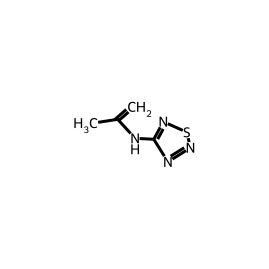 C=C(C)Nc1nnsn1